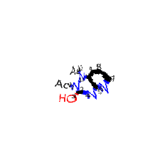 CC(=O)N1C(O)=Nc2ncccc2N1C(C)=O